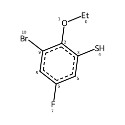 CCOc1c(S)cc(F)cc1Br